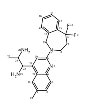 Cc1ccc2nc(N3CCC(F)(F)c4ccccc4C3)cc(C(N)C(C)N)c2c1